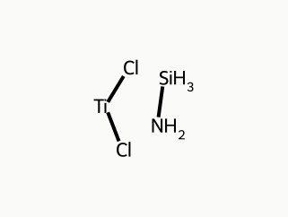 N[SiH3].[Cl][Ti][Cl]